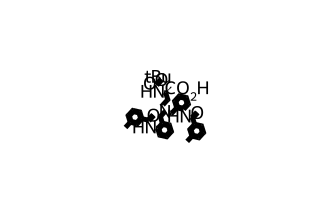 Cc1cccc(C(=O)Nc2ccccc2CN(CC[C@H](NC(=O)OC(C)(C)C)C(=O)O)Cc2ccccc2NC(=O)c2cccc(C)c2)c1